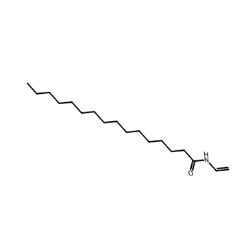 C=CNC(=O)CCCCCCCCCCCCCCC